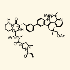 C=CC(=O)N1C[C@@H](C(=O)N(C)[C@H](C(=O)N[C@@H](Cc2cccc(-c3ccc4c(c3)c(CC(C)(C)COC(C)=O)c(-c3cccnc3[C@H](C)OC)n4CC)c2)C(=O)N2CCCCN2)C(C)C)C[C@H]1C